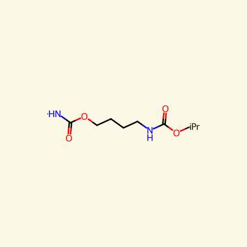 CC(C)OC(=O)NCCCCOC([NH])=O